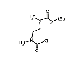 CN(CCN(C)C(=O)OC(C)(C)C)C(=O)Cl